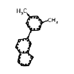 Cc1cc(C)cc(-c2ccc3ccccc3c2)c1